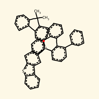 CC1(C)c2ccccc2-c2cc(N(c3ccc4sc5ccccc5c4c3)c3cccc(-c4ccccc4)c3-c3ccccc3-c3ccccc3)ccc21